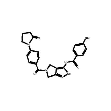 CC(C)(C)c1ccc(C(=O)Nc2[nH]nc3c2CN(C(=O)c2ccc(N4CCCC4=O)cc2)C3)cc1